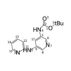 CC(C)(C)OC(=O)Nc1cncc(Nc2ccccn2)c1